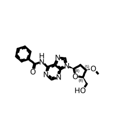 CO[C@H]1C[C@H](n2cnc3c(NC(=O)c4ccccc4)ncnc32)O[C@@H]1CO